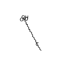 CCCCCCCCCCCCCCCCC=CCCC=CCC[C@@H](OC)C(=O)O